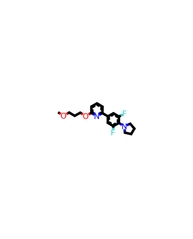 COCCCOc1cccc(-c2cc(F)c(N3CCCC3)c(F)c2)n1